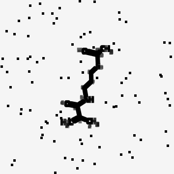 C=C(C)C(=O)NCCCSC(C)=O